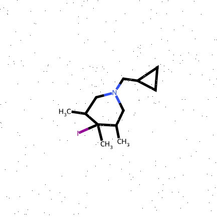 CC1CN(CC2CC2)CC(C)C1(C)I